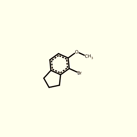 COc1ccc2c(c1Br)CCC2